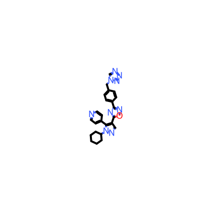 c1cc(-c2c(-c3nc(-c4ccc(Cn5cnnn5)cc4)no3)cnn2C2CCCCC2)ccn1